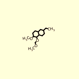 CCC1CCC2C(CCC(OC)C2OCOC)C1